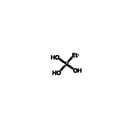 C[CH][Si](O)(O)O